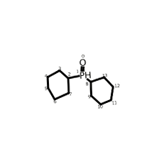 O=[PH](C1CCCCC1)C1CCCCC1